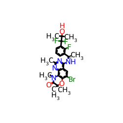 Cc1nc(N[C@H](C)c2cccc(C(F)(F)C(C)(C)O)c2F)c2cc(Br)c3c(c2n1)N(C)C(=O)C(C)(C)O3